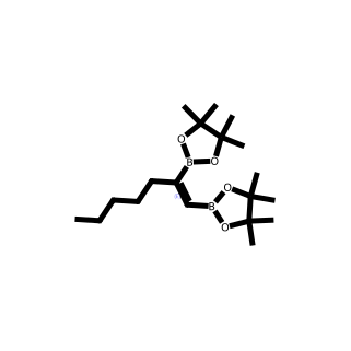 CCCCC/C(=C/B1OC(C)(C)C(C)(C)O1)B1OC(C)(C)C(C)(C)O1